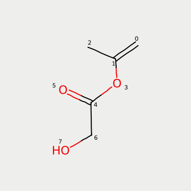 C=C(C)OC(=O)CO